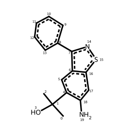 CC(C)(O)c1cc2c(-c3ccccc3)nsc2cc1N